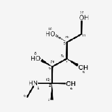 CN[C@@](C)(O)[C@@H](O)[C@H](O)[C@H](O)CO